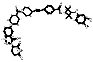 CC1(C)[C@H](NC(=O)c2ccc(C#CC3CCN(C(=O)C4CCN(c5ccc6nnn(C7CCC(=O)NC7=O)c(=O)c6c5)CC4)CC3)cc2)C(C)(C)[C@H]1Oc1ccc(C#N)c(Cl)c1